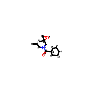 C=CCN(CC1(C)CO1)C(=O)C1CCCCC1